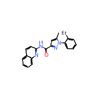 CCc1ccccc1-n1nc(C(=O)Nc2ccc3ccccc3n2)cc1C